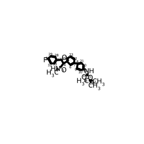 CNC(=O)C1c2cc(-c3ccc(NC(=O)OC(C)(C)C)cc3)ccc2OC1c1ccc(F)cc1